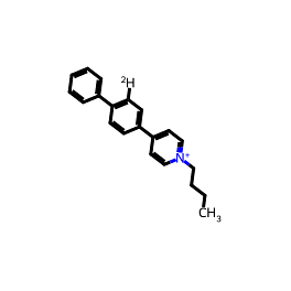 [2H]c1cc(-c2cc[n+](CCCC)cc2)ccc1-c1ccccc1